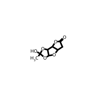 CC1(O)OC2OC3CC(=O)OC3C2O1